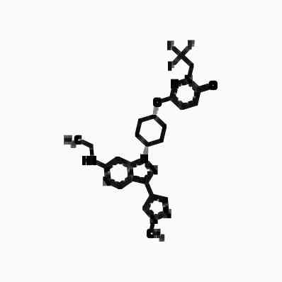 CCNc1cc2c(cn1)c(-c1cnn(C)c1)nn2[C@H]1CC[C@@H](Oc2ccc(=O)n(CC(F)(F)F)n2)CC1